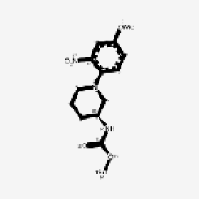 COc1ccc(N2CCC[C@H](NC(=O)OC(C)(C)C)C2)c([N+](=O)[O-])c1